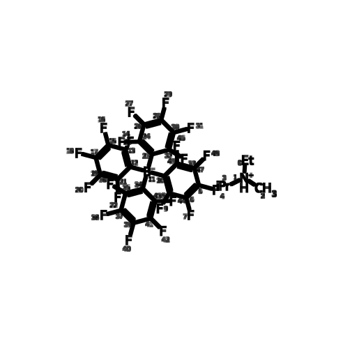 CC[NH+](C)C(C)C.Fc1c(F)c(F)c([B-](c2c(F)c(F)c(F)c(F)c2F)(c2c(F)c(F)c(F)c(F)c2F)c2c(F)c(F)c(F)c(F)c2F)c(F)c1F